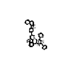 c1ccc(-c2nc(-c3ccccc3)nc(-c3cccc4oc5cc(-c6ccc7c(c6)oc6ccc8ccccc8c67)cnc5c34)n2)cc1